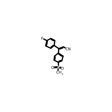 CS(=O)(=O)c1ccc(/C(=C\C#N)c2ccc(F)cc2)cc1